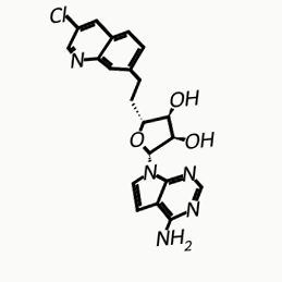 Nc1ncnc2c1ccn2[C@@H]1O[C@H](CCc2ccc3cc(Cl)cnc3c2)[C@@H](O)[C@H]1O